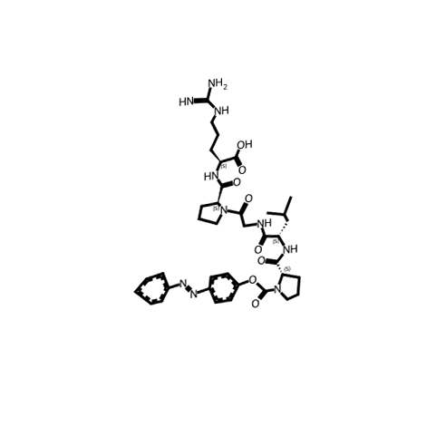 CC(C)C[C@H](NC(=O)[C@@H]1CCCN1C(=O)Oc1ccc(N=Nc2ccccc2)cc1)C(=O)NCC(=O)N1CCC[C@H]1C(=O)N[C@@H](CCCNC(=N)N)C(=O)O